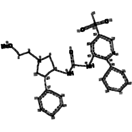 COCCN1CC(NC(=O)Nc2cc(S(C)(=O)=O)cnc2-c2ccccc2)C(c2ccccc2)C1